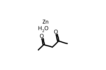 CC(=O)CC(C)=O.O.[Zn]